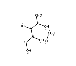 O=C(O)Cl.O=CC(O)C(O)C(O)CO